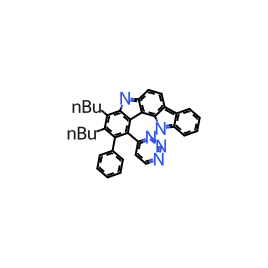 CCCCc1c(CCCC)c(-c2ccccc2)c(-c2ccnnn2)c2c1N=c1ccc3c(c1-2)N=c1ccccc1=3